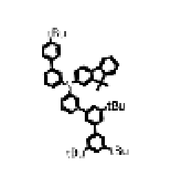 CC(C)(C)c1ccc(-c2cccc(N(c3cccc(-c4cc(-c5cc(C(C)(C)C)cc(C(C)(C)C)c5)cc(C(C)(C)C)c4)c3)c3ccc4c(c3)C(C)(C)c3ccccc3-4)c2)cc1